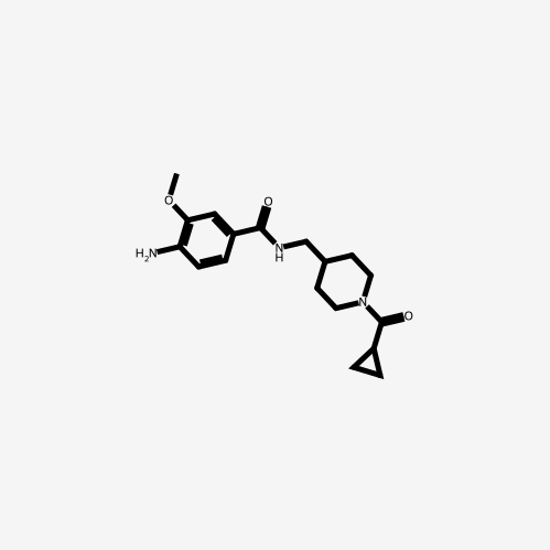 COc1cc(C(=O)NCC2CCN(C(=O)C3CC3)CC2)ccc1N